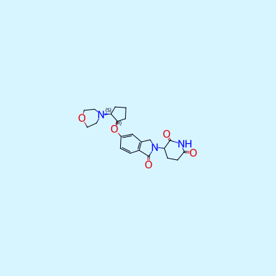 O=C1CCC(N2Cc3cc(O[C@@H]4CCC[C@@H]4N4CCOCC4)ccc3C2=O)C(=O)N1